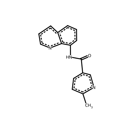 Cc1ccc(C(=O)Nc2cccc3cccnc23)cn1